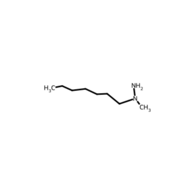 CCCCCCCN(C)N